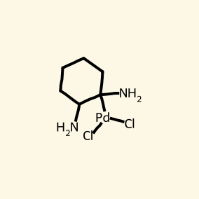 NC1CCCC[C]1(N)[Pd]([Cl])[Cl]